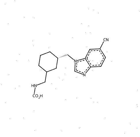 N#Cc1ccc2ncn(C[C@H]3CCCC(CNC(=O)O)C3)c2c1